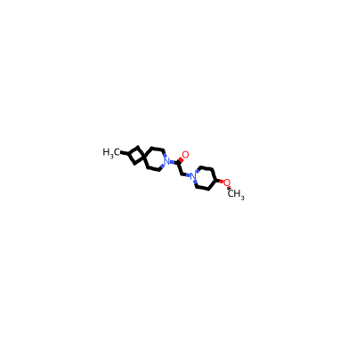 COC1CCN(CC(=O)N2CCC3(CC2)CC(C)C3)CC1